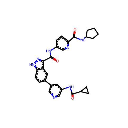 O=C(NC1CCCC1)c1ccc(NC(=O)c2n[nH]c3ccc(-c4cncc(NC(=O)C5CC5)c4)cc23)cn1